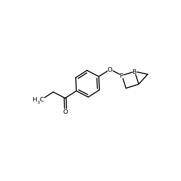 CCC(=O)c1ccc(OP2CC3CB32)cc1